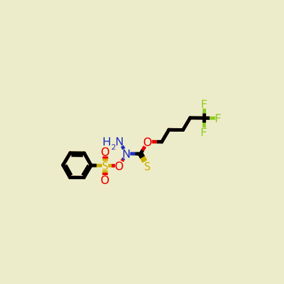 NN(OS(=O)(=O)c1ccccc1)C(=S)OCCCCC(F)(F)F